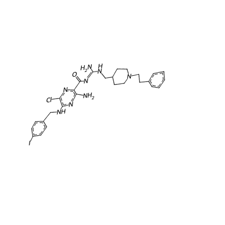 N/C(=N\C(=O)c1nc(Cl)c(NCc2ccc(I)cc2)nc1N)NCC1CCN(CCc2ccccc2)CC1